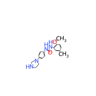 COc1ccc(C)cc1NC(=O)Nc1ccc(N2CCCNCC2)cc1